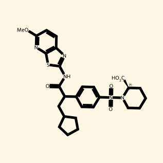 COc1ccc2nc(NC(=O)C(CC3CCCC3)c3ccc(S(=O)(=O)N4CCCC[C@@H]4C(=O)O)cc3)sc2n1